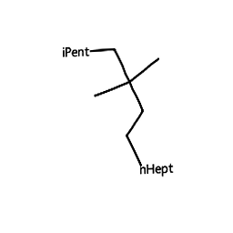 [CH2]CCCCCCCCC(C)(C)CC(C)CCC